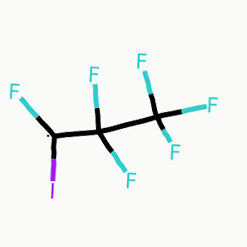 F[C](I)C(F)(F)C(F)(F)F